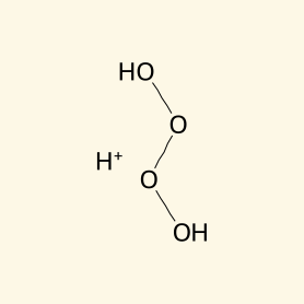 OOOO.[H+]